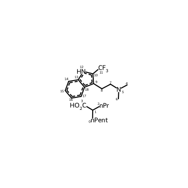 CCCCCC(CCC)C(=O)O.CN(C)CCc1c(C(F)(F)F)[nH]c2ccccc12